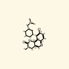 CN(C)C[C@H]1CC[C@H](N2C(=O)N(C)Cc3cnc4ccc(Cl)cc4c32)CC1